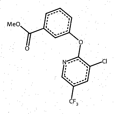 COC(=O)c1cccc(Oc2ncc(C(F)(F)F)cc2Cl)c1